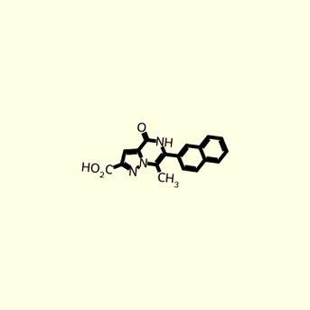 Cc1c(-c2ccc3ccccc3c2)[nH]c(=O)c2cc(C(=O)O)nn12